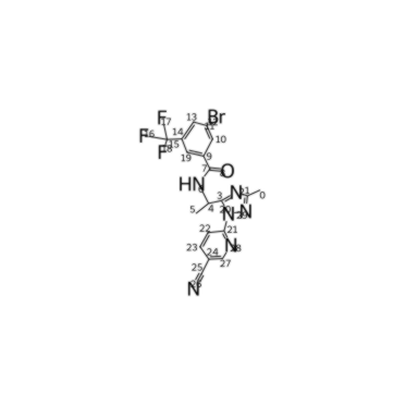 Cc1nc(C(C)NC(=O)c2cc(Br)cc(C(F)(F)F)c2)n(-c2ccc(C#N)cn2)n1